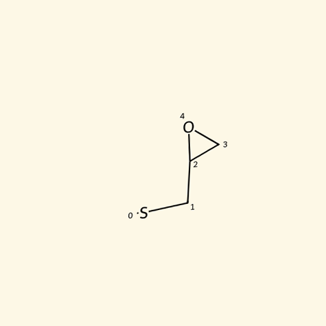 [S]CC1CO1